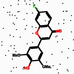 COc1cc(-c2cc(=O)c3ccc(F)cc3o2)cc(OC)c1O